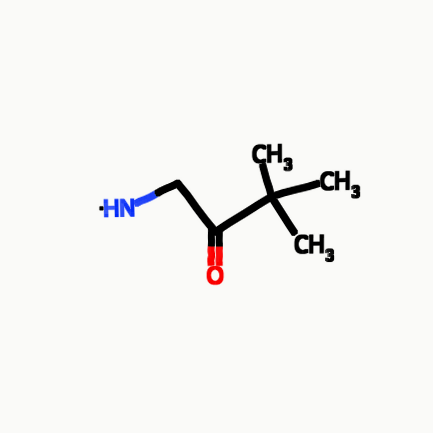 CC(C)(C)C(=O)C[NH]